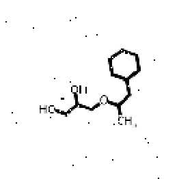 CC(CC1CCCCC1)OCC(O)CO